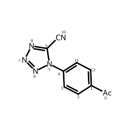 CC(=O)c1ccc(-n2nnnc2C#N)cc1